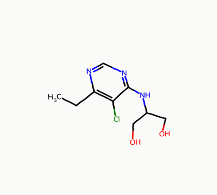 CCc1ncnc(NC(CO)CO)c1Cl